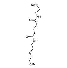 CNCCNC(=O)CCCC(=O)NCCOCCOC